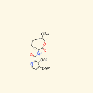 COc1ccnc(C(=O)N[C@H]2CCCC[C@@H](OCC(C)C)[C@H](C)OC2=O)c1OC(C)=O